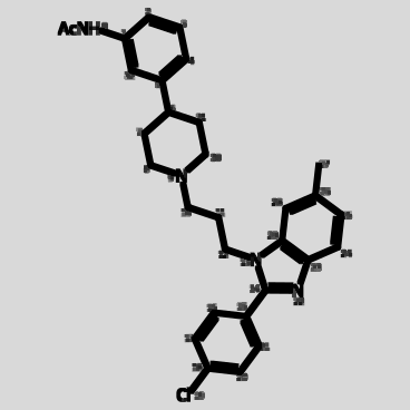 CC(=O)Nc1cccc(C2CCN(CCCn3c(-c4ccc(Cl)cc4)nc4ccc(C)cc43)CC2)c1